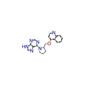 c1ccc2c(OCC3CCCN3c3ncnc4[nH]cnc34)ccnc2c1